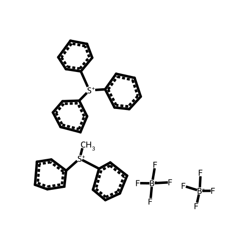 C[S+](c1ccccc1)c1ccccc1.F[B-](F)(F)F.F[B-](F)(F)F.c1ccc([S+](c2ccccc2)c2ccccc2)cc1